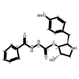 COc1ccc(C[C@H]2NC[C@H](O)[C@H]2OC(=O)NNC(=O)c2ccccc2)cc1